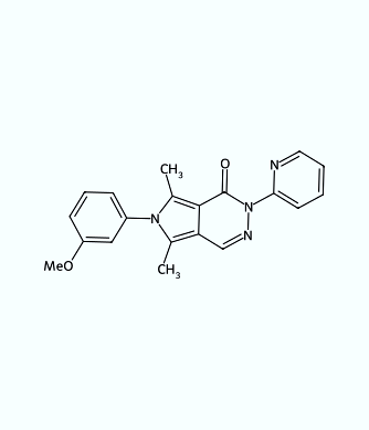 COc1cccc(-n2c(C)c3cnn(-c4ccccn4)c(=O)c3c2C)c1